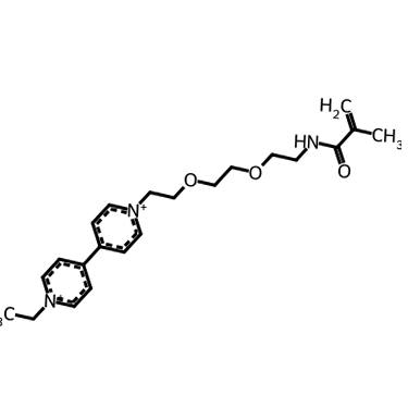 C=C(C)C(=O)NCCOCCOCC[n+]1ccc(-c2cc[n+](CC)cc2)cc1